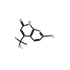 Nc1ccc2c(C(F)(F)C(F)(F)F)cc(=O)[nH]c2n1